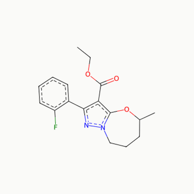 CCOC(=O)c1c(-c2ccccc2F)nn2c1OC(C)CCC2